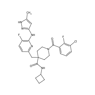 Cc1cc(Nc2nc(CC3(C(=O)NC4CCC4)CCN(C(=O)c4cccc(Cl)c4F)CC3)ccc2F)n[nH]1